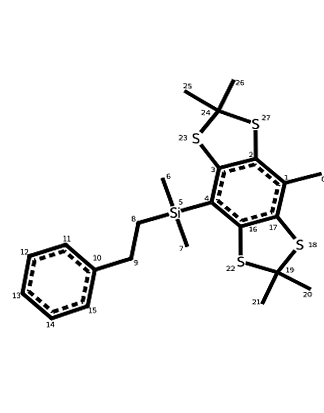 Cc1c2c(c([Si](C)(C)CCc3ccccc3)c3c1SC(C)(C)S3)SC(C)(C)S2